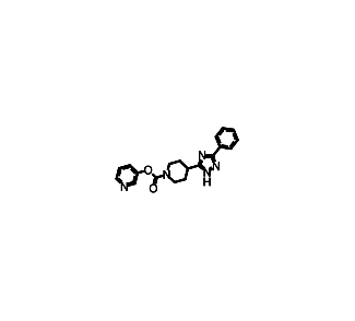 O=C(Oc1cccnc1)N1CCC(c2nc(-c3ccccc3)n[nH]2)CC1